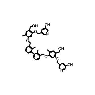 Cc1cc(CO)c(OCc2cncc(C#N)c2)cc1OCc1cccc(-c2cccc(COc3cc(OCc4cncc(C#N)c4)c(CO)cc3C)c2C)c1C